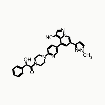 Cn1ccc(-c2cc(-c3ccc(N4CCN(C(=O)C(O)c5ccccc5)CC4)nc3)c3c(C#N)cnn3c2)n1